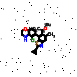 Cc1cc2nc(C3CC3)sc2c(-c2ccc3c(c2Cl)NCCO3)c1[C@H](OC(C)(C)C)C(=O)O